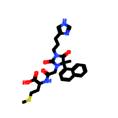 CSCCC(NC(=O)CN1C(=O)N(CCCc2c[nH]cn2)C(=O)C1(C)c1cccc2ccccc12)C(=O)O